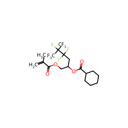 C=C(C)C(=O)OCC(CC(F)(F)C(F)(C(F)(F)F)C(F)(F)F)OC(=O)C1CCCCC1